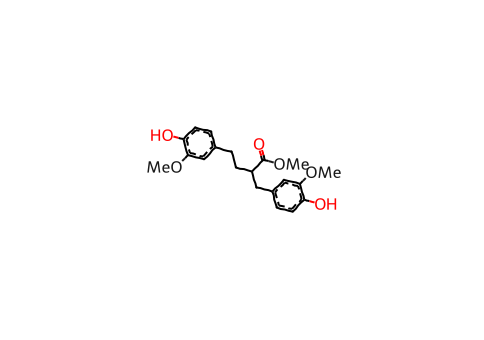 COC(=O)C(CCc1ccc(O)c(OC)c1)Cc1ccc(O)c(OC)c1